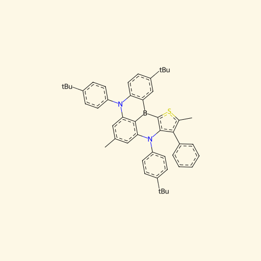 Cc1cc2c3c(c1)N(c1ccc(C(C)(C)C)cc1)c1c(sc(C)c1-c1ccccc1)B3c1cc(C(C)(C)C)ccc1N2c1ccc(C(C)(C)C)cc1